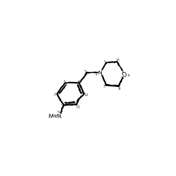 CNc1ccc(CN2CCOCC2)cc1